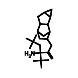 C=C(CC1CC2CC1C1C2CC2CC21)C(N)(CC(C)(C)C)C(C)(C)C